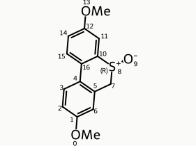 COc1ccc2c(c1)C[S@+]([O-])c1cc(OC)ccc1-2